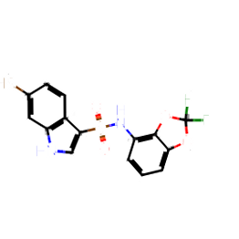 O=S(=O)(Nc1cccc2c1OC(F)(F)O2)c1c[nH]c2cc(S)ccc12